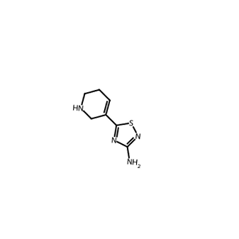 Nc1nsc(C2=CCCNC2)n1